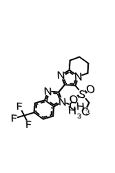 CCS(=O)(=O)c1c(-c2nc3cc(C(F)(F)F)ccc3n2C)nc2n1CCCC2